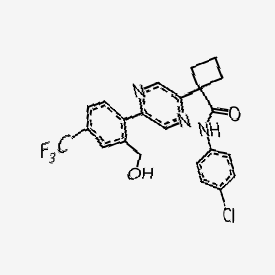 O=C(Nc1ccc(Cl)cc1)C1(c2cnc(-c3ccc(C(F)(F)F)cc3CO)cn2)CCC1